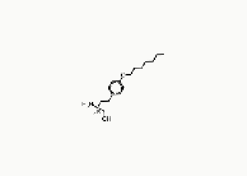 CCCCCCCOc1ccc(CC[C@](C)(N)CO)cc1